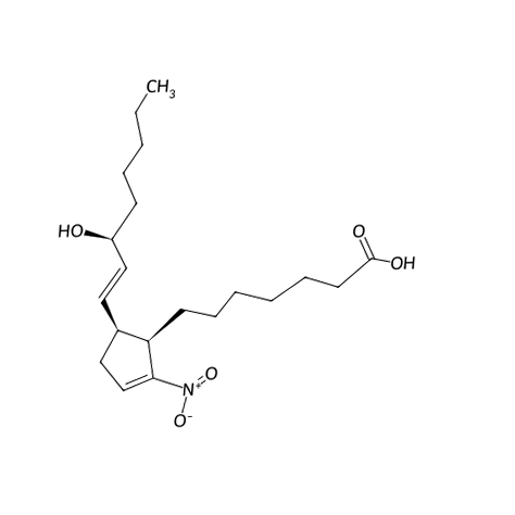 CCCCC[C@H](O)C=C[C@@H]1CC=C([N+](=O)[O-])[C@@H]1CCCCCCC(=O)O